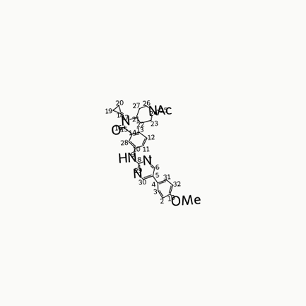 COc1ccc(-c2cnc(Nc3cccc(C(=O)N(C4CC4)C4CCN(C(C)=O)CC4)c3)nc2)cc1